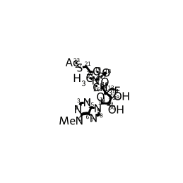 CNc1ncnc2c1ncn2[C@H]1O[C@](CF)(COP(=O)(OCCSC(C)=O)N(C)C)[C@H](O)C1O